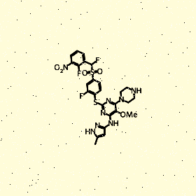 COc1c(Nc2cc(C)[nH]n2)nc(Sc2ccc(S(=O)(=O)C(F)c3cccc([N+](=O)[O-])c3F)cc2F)nc1N1CCNCC1